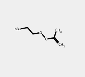 C=C(C)OOCCCCCC